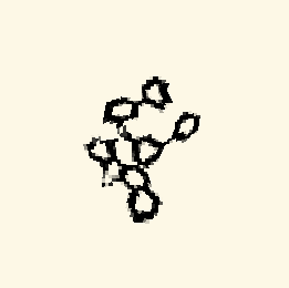 c1ccc(-c2cccc(N(c3cccc(-c4ccccc4)c3)c3nccc4oc5c6ccccc6ccc5c34)c2)cc1